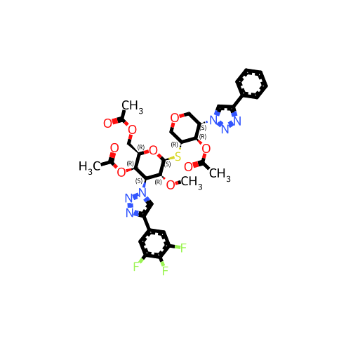 CO[C@@H]1[C@@H](n2cc(-c3cc(F)c(F)c(F)c3)nn2)[C@@H](OC(C)=O)[C@@H](COC(C)=O)O[C@H]1S[C@@H]1COC[C@H](n2cc(-c3ccccc3)nn2)[C@H]1OC(C)=O